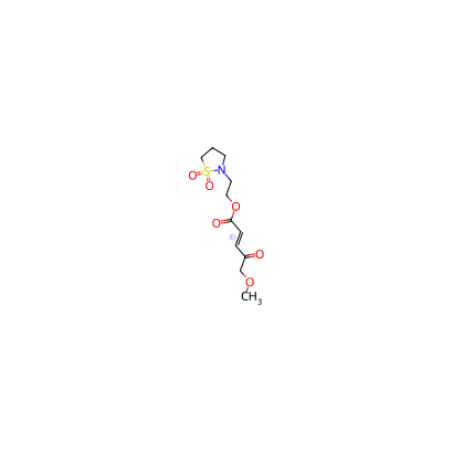 COCC(=O)/C=C/C(=O)OCCN1CCCS1(=O)=O